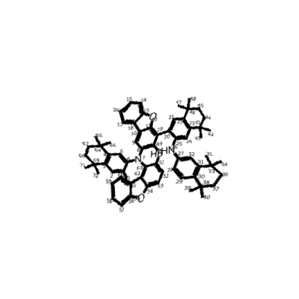 Cc1cc2c(cc1N1c3cc4c(oc5ccccc54)c(-c4cc5c(cc4Nc4ccc6c(c4)C(C)(C)CCC6(C)C)C(C)(C)CCC5(C)C)c3Bc3ccc4oc5ccccc5c4c31)C(C)(C)CCC2(C)C